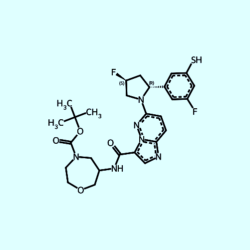 CC(C)(C)OC(=O)N1CCOCC(NC(=O)c2cnc3ccc(N4C[C@@H](F)C[C@@H]4c4cc(F)cc(S)c4)nn23)C1